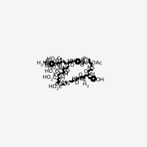 CC(=O)O[C@H](CCC(C)C)C1=NC(C(=O)N[C@@H](Cc2ccc(O)cc2)C[C@H](C)C(=O)NNC(=O)OCCSSC[C@H](NC(=O)[C@H](CC(=O)O)NC(=O)[C@H](CC(=O)O)NC(=O)[C@H](CC(=O)O)NC(=O)CN(CCN(CC(=O)O)CC(=O)Nc2ccc(S(N)(=O)=O)cc2)CC(=O)Nc2ccc(S(N)(=O)=O)cc2)C(=O)O)CS1